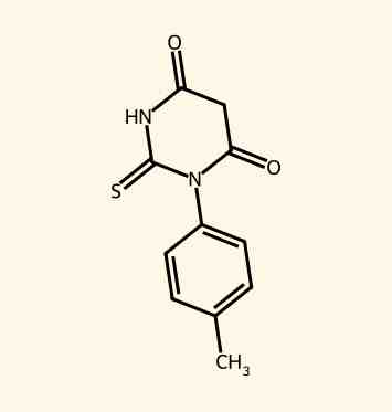 Cc1ccc(N2C(=O)CC(=O)NC2=S)cc1